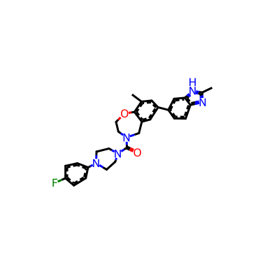 Cc1nc2ccc(-c3cc(C)c4c(c3)CN(C(=O)N3CCN(c5ccc(F)cc5)CC3)CCO4)cc2[nH]1